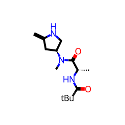 C=C1C[C@H](N(C)C(=O)[C@H](C)NC(=O)C(C)(C)C)CN1